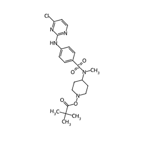 CN(C1CCN(OC(=O)C(C)(C)C)CC1)S(=O)(=O)c1ccc(Nc2nccc(Cl)n2)cc1